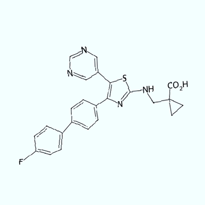 O=C(O)C1(CNc2nc(-c3ccc(-c4ccc(F)cc4)cc3)c(-c3cncnc3)s2)CC1